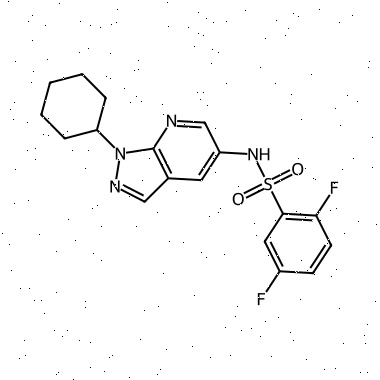 O=S(=O)(Nc1cnc2c(cnn2C2CCCCC2)c1)c1cc(F)ccc1F